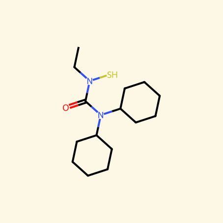 CCN(S)C(=O)N(C1CCCCC1)C1CCCCC1